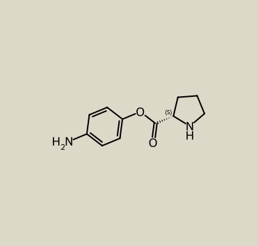 Nc1ccc(OC(=O)[C@@H]2CCCN2)cc1